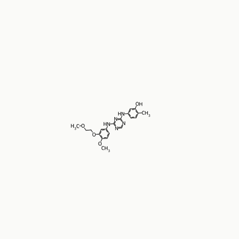 COCCOc1cc(Nc2ncnc(Nc3ccc(C)c(O)c3)n2)ccc1OC